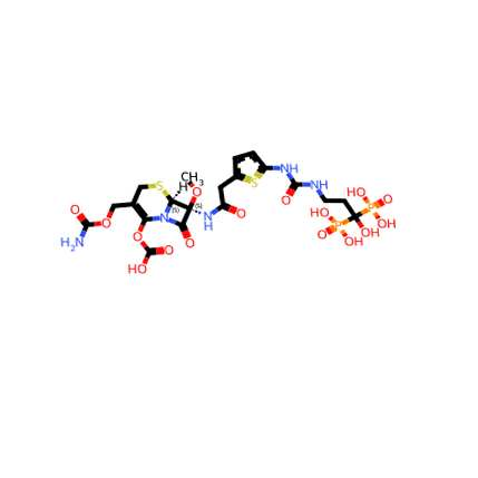 CO[C@@]1(NC(=O)Cc2ccc(NC(=O)NCCC(O)(P(=O)(O)O)P(=O)(O)O)s2)C(=O)N2C(OC(=O)O)=C(COC(N)=O)CS[C@H]21